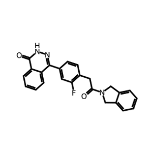 O=C(Cc1ccc(-c2n[nH]c(=O)c3ccccc23)cc1F)N1Cc2ccccc2C1